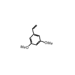 C=Cc1cc(OC)cc(OC)c1